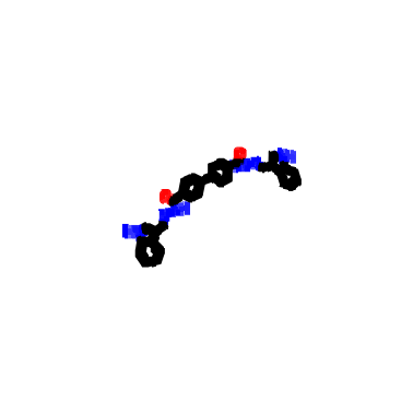 O=C(N/N=C/c1c[nH]c2ccccc12)c1ccc(-c2ccc(C(=O)N/N=C/c3c[nH]c4ccccc34)cc2)cc1